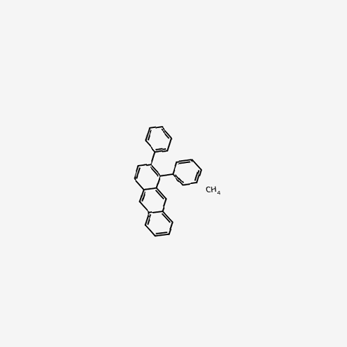 C.c1ccc(-c2ccc3cc4ccccc4cc3c2-c2ccccc2)cc1